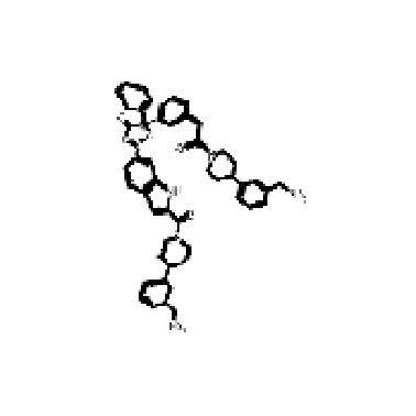 NCc1cccc(C2CCN(C(=O)Cc3cccc([C@@]4(c5ccccc5)OB(c5ccc6cc(C(=O)N7CCC(c8cccc(CN)c8)CC7)[nH]c6c5)OC4=O)c3)CC2)c1